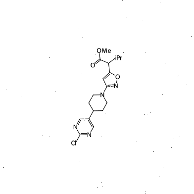 COC(=O)C(c1cc(N2CCC(c3cnc(Cl)nc3)CC2)no1)C(C)C